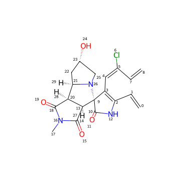 C=CC1=C(/C=C(/Cl)C=C)[C@@]2(C(=O)N1)[C@H]1C(=O)N(C)C(=O)[C@H]1[C@H]1C[C@H](O)CN12